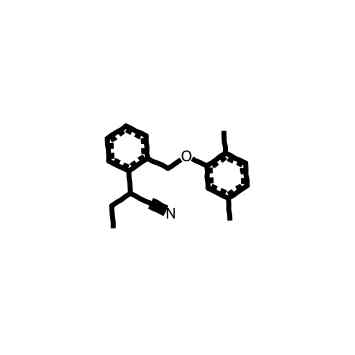 CCC(C#N)c1ccccc1COc1cc(C)ccc1C